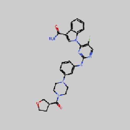 NC(=O)c1cn(-c2nc(Nc3cccc(N4CCN(C(=O)C5CCOC5)CC4)c3)ncc2F)c2ccccc12